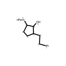 CCCCCC1CCC(CCC(C)C)C1O